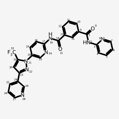 O=C(Nc1ccccn1)c1cccc(C(=O)Nc2ccc(-n3nc(-c4cccnc4)cc3C(F)(F)F)cn2)c1